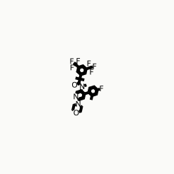 Cc1cc(F)ccc1-c1cc(N2CCOCC2)ncc1N(C)C(=O)C(C)(C)c1cc(C(F)(F)F)cc(C(F)(F)F)c1